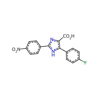 O=C(O)c1nc(-c2ccc([N+](=O)[O-])cc2)[nH]c1-c1ccc(F)cc1